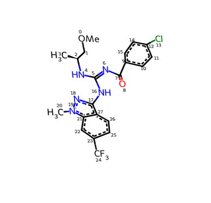 COC[C@H](C)N/C(=N/C(=O)c1ccc(Cl)cc1)Nc1nn(C)c2cc(C(F)(F)F)ccc12